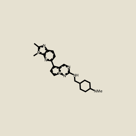 CNC1CCC(CNc2ncc3c(-c4ccc5nc(C)n(C)c5n4)ccn3n2)CC1